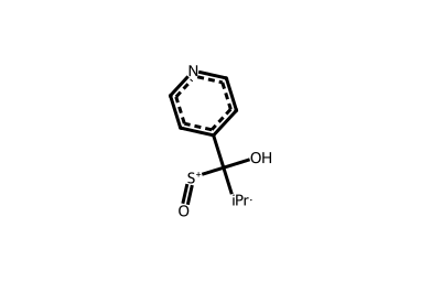 C[C](C)C(O)([S+]=O)c1ccncc1